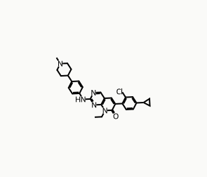 CCn1c(=O)c(-c2ccc(C3CC3)cc2Cl)cc2cnc(Nc3ccc(C4CCN(C)CC4)cc3)nc21